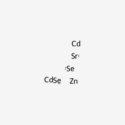 [Cd].[Cd].[Se].[Se].[Sr].[Zn]